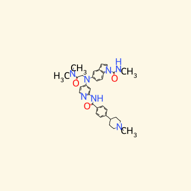 CNC(=O)n1ccc2cc(N(CC(=O)N(C)C)c3ccnc(NC(=O)c4ccc(C5CCN(C)CC5)cc4)c3)ccc21